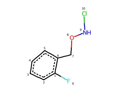 Fc1ccccc1CONCl